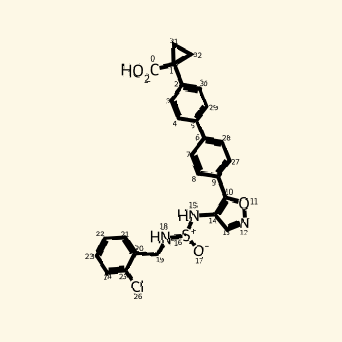 O=C(O)C1(c2ccc(-c3ccc(-c4oncc4N[S+]([O-])NCc4ccccc4Cl)cc3)cc2)CC1